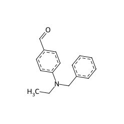 CCN(Cc1ccccc1)c1ccc(C=O)cc1